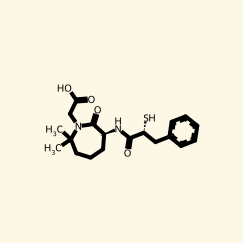 CC1(C)CCC[C@H](NC(=O)[C@H](S)Cc2ccccc2)C(=O)N1CC(=O)O